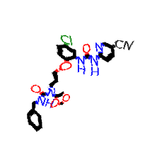 N#Cc1ccc(NC(=O)Nc2cc(Cl)ccc2OCCCN(C(=O)NCc2ccccc2)C2=COCO2)nc1